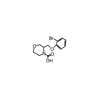 O=C(O)N1CCOCC1COc1ccccc1Br